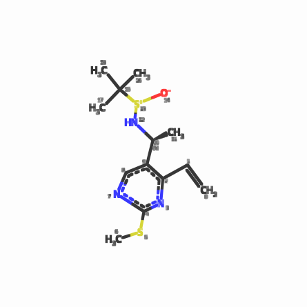 C=Cc1nc(SC)ncc1[C@H](C)N[S+]([O-])C(C)(C)C